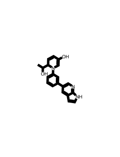 CC(O)C1C=CC(O)=CN1c1cccc(-c2cnc3[nH]ccc3c2)c1